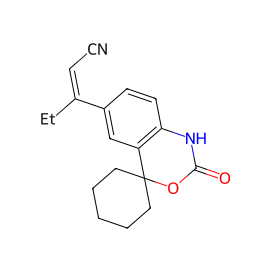 CC/C(=C/C#N)c1ccc2c(c1)C1(CCCCC1)OC(=O)N2